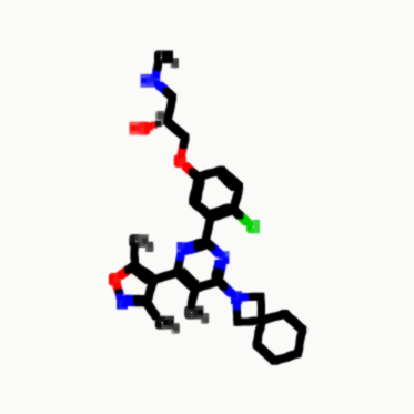 CNC[C@@H](O)COc1ccc(Cl)c(-c2nc(-c3c(C)noc3C)c(C)c(N3CC4(CCCCC4)C3)n2)c1